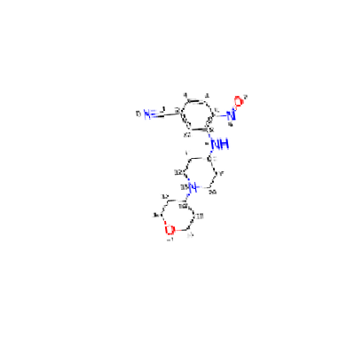 N#Cc1ccc(N=O)c(NC2CCN(C3CCOCC3)CC2)c1